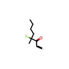 [CH]=CC(=O)C(C)(F)CCCC